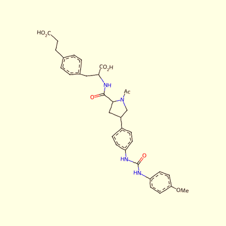 COc1ccc(NC(=O)Nc2ccc(C3CC(C(=O)NC(Cc4ccc(CCC(=O)O)cc4)C(=O)O)N(C(C)=O)C3)cc2)cc1